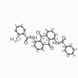 Cc1ccccc1C(=O)Nc1cccc2c1C(=O)c1cccc(NC(=O)c3ccccc3)c1C2=O